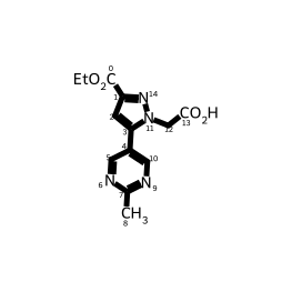 CCOC(=O)c1cc(-c2cnc(C)nc2)n(CC(=O)O)n1